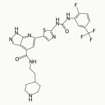 O=C(Nc1ncc(-c2cc(C(=O)NCCC3CCNCC3)c3cn[nH]c3n2)s1)Nc1cc(C(F)(F)F)ccc1F